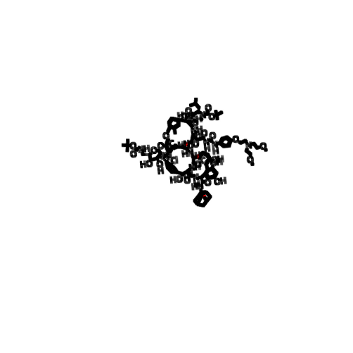 COCCN(CCOC)CCOc1ccc(NC(=O)NC(=O)C[C@@H]2NC(=O)[C@H](NC(=O)[C@@H](CC(C)C)N(C)C(=O)OC(C)(C)C)[C@H](O)c3ccc(c(C)c3)Oc3cc4cc(c3O[C@@H]3O[C@H](CNC(=O)OC(C)(C)C)[C@@H](O)[C@H](O)[C@H]3O)Oc3ccc(cc3Cl)[C@@H](O)[C@@H]3NC(=O)[C@H](NC(=O)[C@@H]4NC2=O)c2ccc(O)c(c2)-c2c(O)cc(O)cc2[C@@H](C(=O)NC2C4CC5CC(C4)CC2C5)NC3=O)cc1